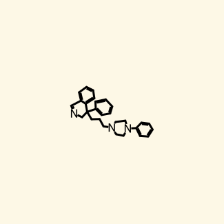 C1=NCC(CCCN2CCN(c3ccccc3)CC2)(c2ccccc2)c2ccccc21